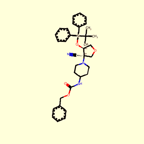 CC(C)(C)[Si](O[C@H]1COC[C@@]1(C#N)N1CCC(NC(=O)OCc2ccccc2)CC1)(c1ccccc1)c1ccccc1